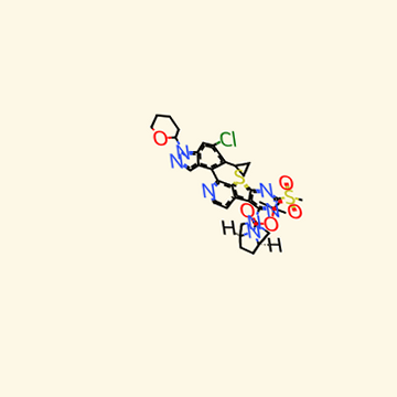 CC(C)(C)OC(=O)N1[C@@H]2CC[C@H]1CN(c1nc(S(C)(=O)=O)nc3sc4c(-c5c(C6CC6)c(Cl)cc6c5cnn6C5CCCCO5)nccc4c13)C2